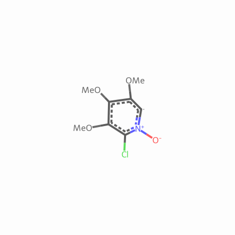 COc1[c][n+]([O-])c(Cl)c(OC)c1OC